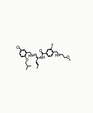 C/C=C/C(=N\NCc1cc(Cl)ccc1OCC(C)C)NC(=O)c1ccc(CNCCOC)c(F)c1